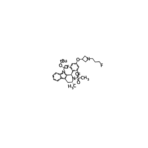 C[C@@H]1Cc2c(n(C(=O)OC(C)(C)C)c3ccccc23)[C@@H](c2c(F)cc(OC3CN(CCCF)C3)cc2F)N1S(C)(=O)=O